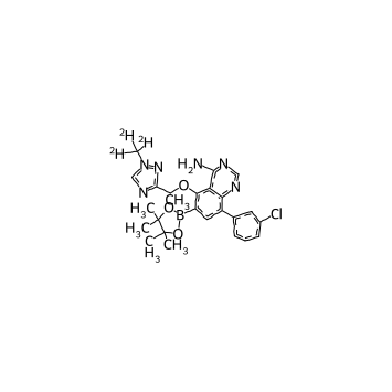 [2H]C([2H])([2H])n1cnc(C(C)Oc2c(B3OC(C)(C)C(C)(C)O3)cc(-c3cccc(Cl)c3)c3ncnc(N)c23)n1